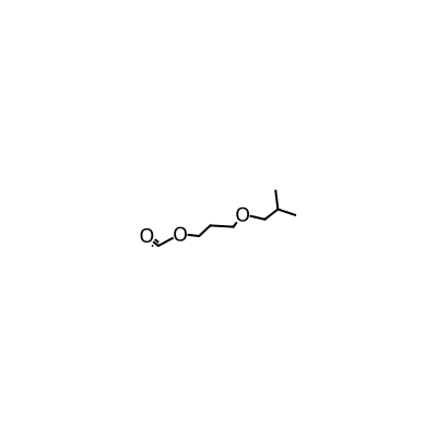 CC(C)COCCCO[C]=O